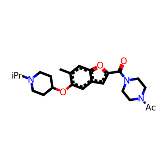 CC(=O)N1CCN(C(=O)c2cc3cc(OC4CCN(C(C)C)CC4)c(C)cc3o2)CC1